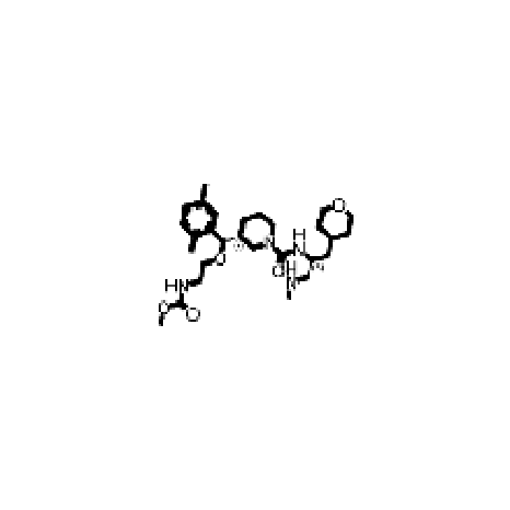 CNC[C@H](CC1CCOCC1)NC(=O)N1CCC[C@@H](C(OCCNC(=O)OC)c2cc(C)ccc2C)C1